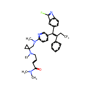 CCN(C/C=C/C(=O)N(C)C)C1(CN(C)c2ccc(/C(=C(/CC(F)(F)F)c3ccccc3)c3ccc4c(c3)C(F)=N4)cn2)CC1